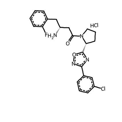 Cl.N[C@@H](CC(=O)N1CCC[C@@H]1c1nc(-c2cccc(Cl)c2)no1)Cc1ccccc1F